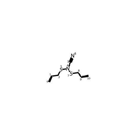 C=CCSN(C#N)SCC=C